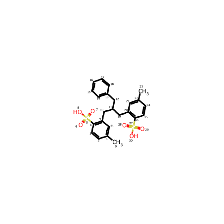 Cc1ccc(S(=O)(=O)O)c(CC(Cc2ccccc2)Cc2cc(C)ccc2S(=O)(=O)O)c1